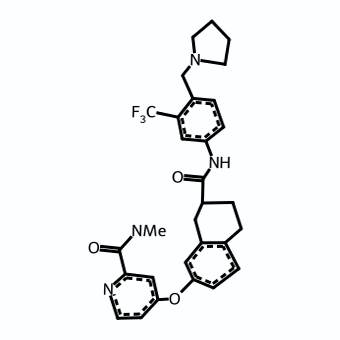 CNC(=O)c1cc(Oc2ccc3c(c2)CC(C(=O)Nc2ccc(CN4CCCC4)c(C(F)(F)F)c2)CC3)ccn1